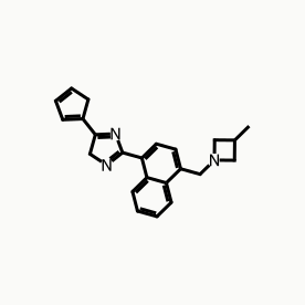 CC1CN(Cc2ccc(C3=NCC(C4=CC=CC4)=N3)c3ccccc23)C1